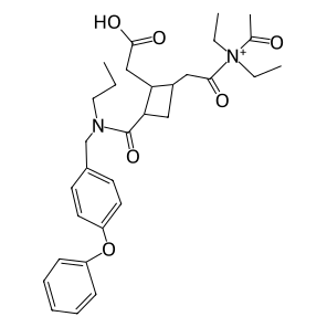 CCCN(Cc1ccc(Oc2ccccc2)cc1)C(=O)C1CC(CC(=O)[N+](CC)(CC)C(C)=O)C1CC(=O)O